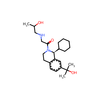 CC(O)CNCC(=O)N1CCc2ccc(C(C)(C)O)cc2[C@@H]1C1CCCCC1